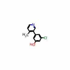 Cc1ccncc1-c1cc(O)cc(Cl)c1